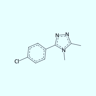 Cc1nnc(-c2ccc(Cl)cc2)n1C